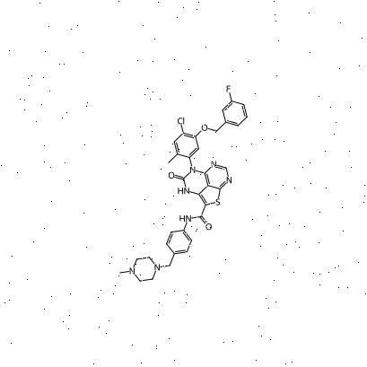 Cc1cc(Cl)c(OCc2cccc(F)c2)cc1N1C(=O)Nc2c(C(=O)Nc3ccc(CN4CCN(C)CC4)cc3)sc3ncnc1c23